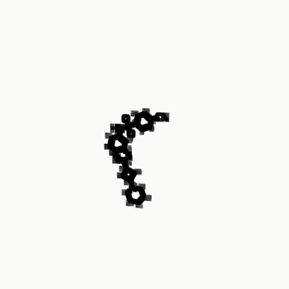 N#Cc1ccc(S(=O)(=O)Nc2ccc3nc(C4CC(N5CCCCC5)C4)sc3c2)cc1